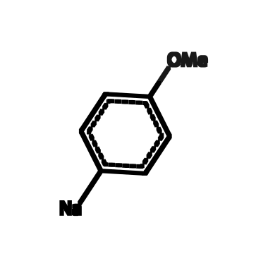 COc1cc[c]([Na])cc1